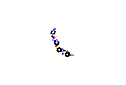 CCN1CCN(CC(=O)Nc2cc(Oc3ccc4c(c3)nc(Nc3cccc(C(C)C)c3)n4C)ccn2)CC1